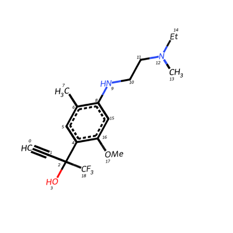 C#CC(O)(c1cc(C)c(NCCN(C)CC)cc1OC)C(F)(F)F